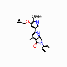 C=C/C(=C\C)N1Cc2nc(-c3cnc(OC)c(OCC4CC4)c3)cc(C)c2C1=O